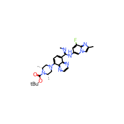 C/N=C(/Nc1cc(F)c2nc(C)cn2c1)c1ccc(N2C[C@@H](C)N(C(=O)OC(C)(C)C)[C@@H](C)C2)c2nccnc12